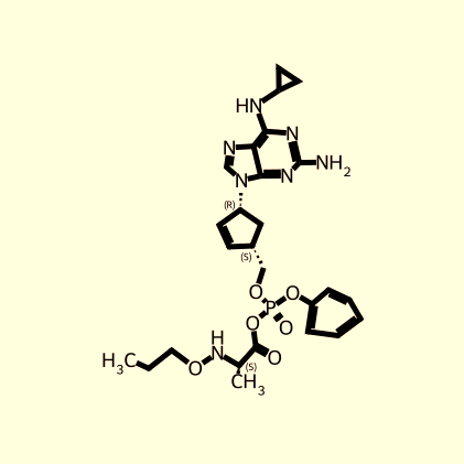 CCCON[C@@H](C)C(=O)OP(=O)(OC[C@@H]1C=C[C@H](n2cnc3c(NC4CC4)nc(N)nc32)C1)Oc1ccccc1